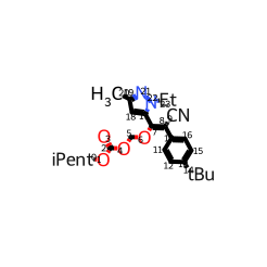 CCCC(C)OC(=O)OCO/C(=C(/C#N)c1ccc(C(C)(C)C)cc1)c1cc(C)nn1CC